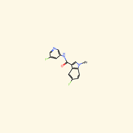 CC(C)n1cc(C(=O)Nc2cncc(F)c2)c2cc(F)ccc21